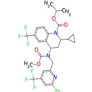 COC(=O)N(Cc1cc(C(F)(F)F)cc(Cl)n1)C1CC(C2CC2)N(C(=O)OC(C)C)c2ccc(C(F)(F)F)cc21